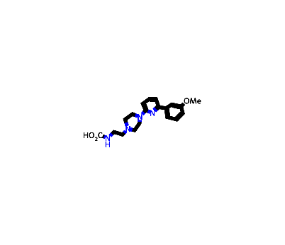 COc1cccc(-c2cccc(N3CCN(CCNC(=O)O)CC3)n2)c1